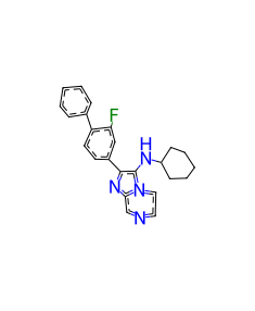 Fc1cc(-c2nc3cnccn3c2NC2CCCCC2)ccc1-c1ccccc1